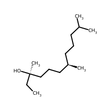 CC[C@@](C)(O)CCC[C@H](C)CCCC(C)C